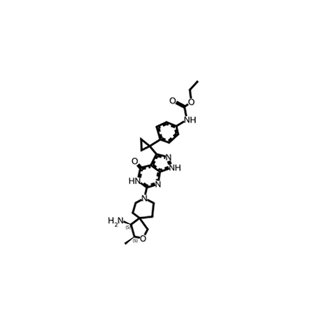 CCOC(=O)Nc1ccc(C2(c3n[nH]c4nc(N5CCC6(CC5)CO[C@@H](C)[C@H]6N)[nH]c(=O)c34)CC2)cc1